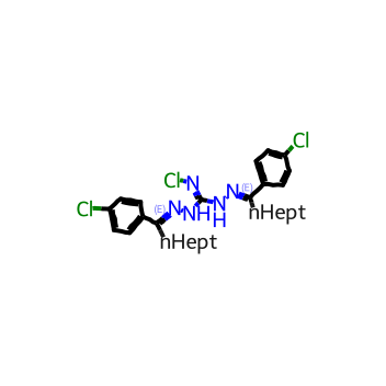 CCCCCCC/C(=N\NC(=NCl)N/N=C(\CCCCCCC)c1ccc(Cl)cc1)c1ccc(Cl)cc1